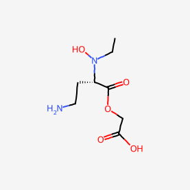 CCN(O)[C@@H](CCN)C(=O)OCC(=O)O